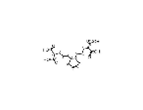 O=C(O)C(CCCC1CC=CCC1CCCC(C(=O)O)C(=O)O)C(=O)O